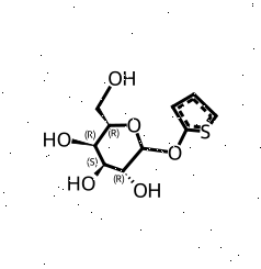 OC[C@H]1OC(Oc2cccs2)[C@H](O)[C@@H](O)[C@H]1O